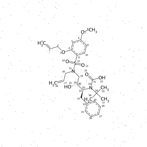 C=CCOc1cc(OC)ccc1S(=O)(=O)N(CC=C)C[C@@H](O)[C@H](Cc1ccccc1)N(C(=O)O)C(C)(C)C